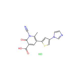 Cc1c(-c2cc(-n3ccnc3)cs2)cc(C(=O)O)c(=O)n1C#N.Cl